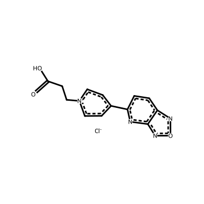 O=C(O)CC[n+]1ccc(-c2ccc3nonc3n2)cc1.[Cl-]